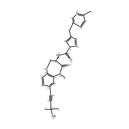 Cc1ccc(Cc2cnn(C(=O)N[C@@H]3COc4ccc(C#CC(C)(C)O)cc4N(C)C3=O)c2)cn1